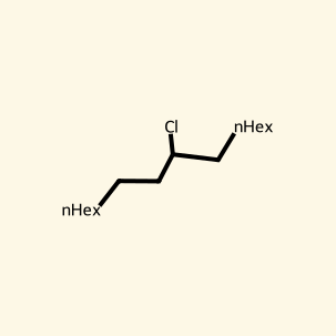 CCCCCCCCC(Cl)CCCCCCC